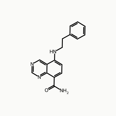 NC(=O)c1ccc(NCCc2ccccc2)c2cncnc12